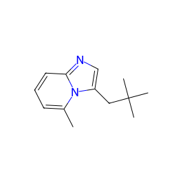 Cc1cccc2ncc(CC(C)(C)C)n12